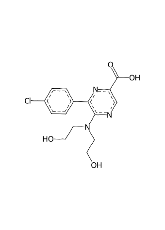 O=C(O)c1cnc(N(CCO)CCO)c(-c2ccc(Cl)cc2)n1